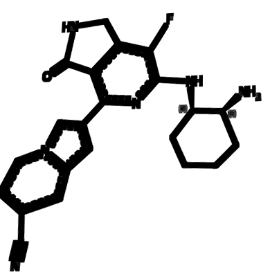 N#Cc1ccn2cc(-c3nc(N[C@@H]4CCCC[C@@H]4N)c(F)c4c3C(=O)NC4)cc2c1